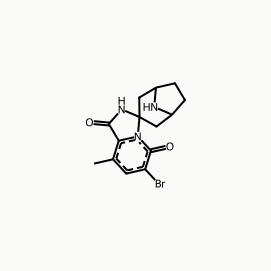 Cc1cc(Br)c(=O)n2c1C(=O)NC21CC2CCC(C1)N2